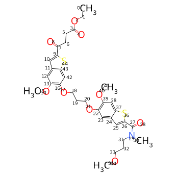 CCOC(=O)CCC(=O)c1cc2cc(OC)c(OCCCOc3cc4cc(C(=O)N(C)CCCOC)sc4cc3OC)cc2s1